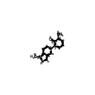 Cc1cccn(-c2ccc3c(cnn3C)c2)c1=O